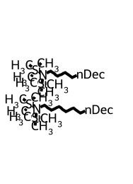 CCCCCCCCCCCCCCCCN([Si](C)(C)C)[Si](C)(C)C.CCCCCCCCCCCCCCN([Si](C)(C)C)[Si](C)(C)C